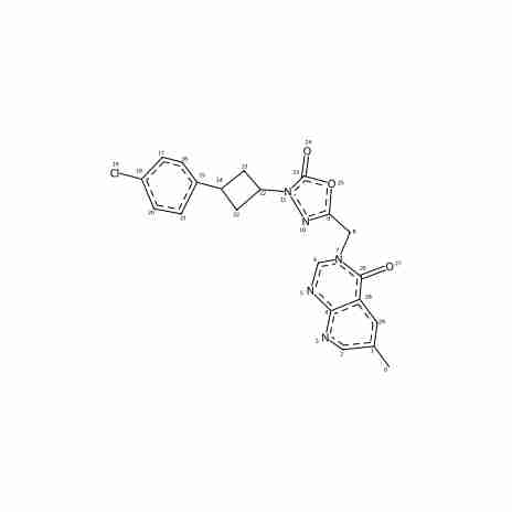 Cc1cnc2ncn(Cc3nn(C4CC(c5ccc(Cl)cc5)C4)c(=O)o3)c(=O)c2c1